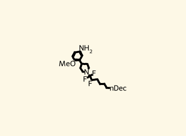 CCCCCCCCCCCCCCC(F)C(F)(F)N1CCC(c2cc(N)ccc2OC)CC1